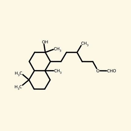 CC(CCOC=O)CCC1C(C)(O)CCC2C(C)(C)CCCC21C